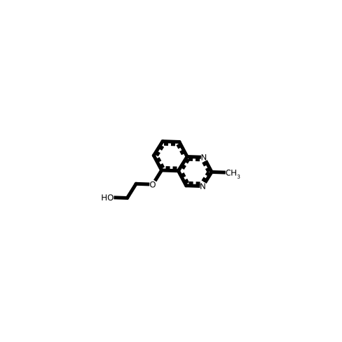 Cc1ncc2c(OCCO)cccc2n1